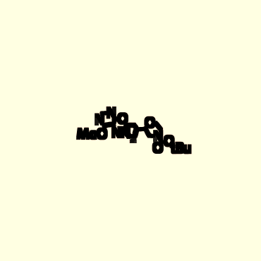 COc1ncnc(Oc2cccc(C3CN(C(=O)OC(C)(C)C)CCO3)c2)c1N